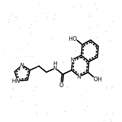 O=C(NCCc1c[nH]cn1)c1nc(O)c2cccc(O)c2n1